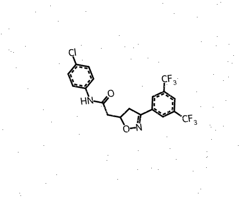 O=C(CC1CC(c2cc(C(F)(F)F)cc(C(F)(F)F)c2)=NO1)Nc1ccc(Cl)cc1